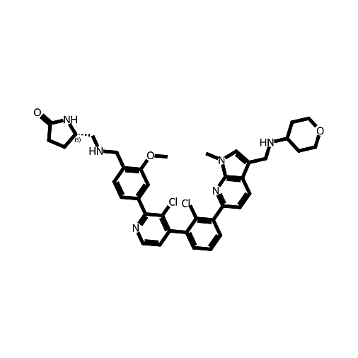 COc1cc(-c2nccc(-c3cccc(-c4ccc5c(CNC6CCOCC6)cn(C)c5n4)c3Cl)c2Cl)ccc1CNC[C@@H]1CCC(=O)N1